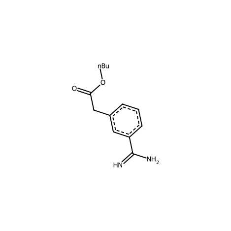 CCCCOC(=O)Cc1cccc(C(=N)N)c1